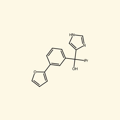 CC(C)C(O)(c1cccc(-c2ccco2)c1)c1c[nH]cn1